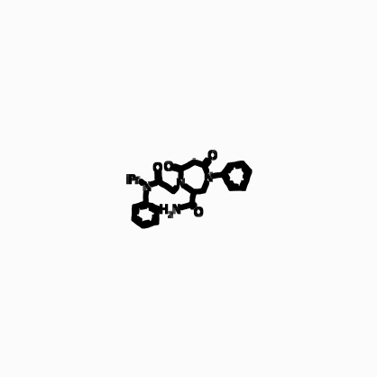 CC(C)N(C(=O)CN1C(=O)[CH]C(=O)N(c2ccccc2)CC1C(N)=O)c1ccccc1